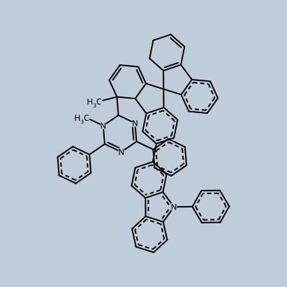 CN1C(c2ccccc2)=NC(c2ccccc2)=NC1C1(C)C=CC=C2C1c1cc(-c3ccc4c5ccccc5n(-c5ccccc5)c4c3)ccc1C21C2=C(C=CCC2)c2ccccc21